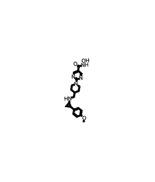 COc1ccc(C2CC2NCC2CCN(c3ncc(C(=O)NO)cn3)CC2)cc1